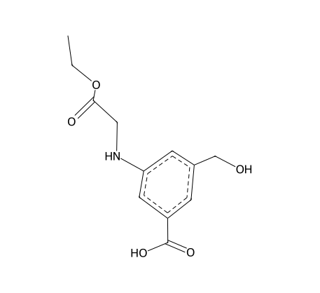 CCOC(=O)CNc1cc(CO)cc(C(=O)O)c1